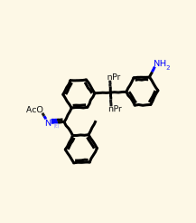 CCCC(CCC)(c1cccc(N)c1)c1cccc(/C(=N\OC(C)=O)c2ccccc2C)c1